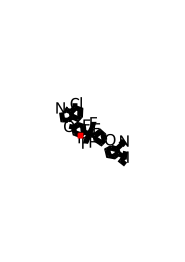 CCC(Oc1ccc(C(c2ccc(Oc3cccc(C(C)(I)CC)c3C#N)cc2)(C(F)(F)F)C(F)(F)F)cc1)c1cccc(Cl)c1C#N